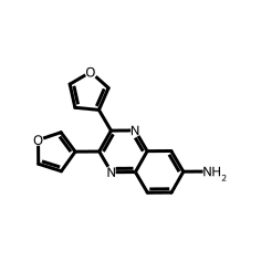 Nc1ccc2nc(-c3ccoc3)c(-c3ccoc3)nc2c1